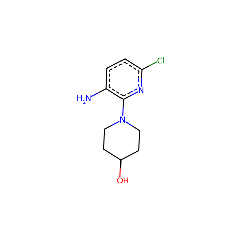 Nc1ccc(Cl)nc1N1CCC(O)CC1